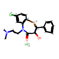 CN(C)CCN1C(=O)C(O)C(c2ccccc2)Sc2ccc(Cl)cc21.Cl